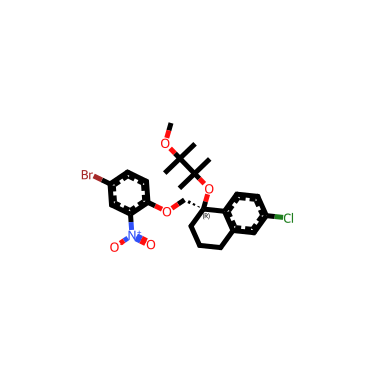 COC(C)(C)C(C)(C)O[C@]1(COc2ccc(Br)cc2[N+](=O)[O-])CCCc2cc(Cl)ccc21